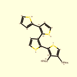 CCCCCCc1csc(-c2sccc2-c2sccc2-c2cccs2)c1CCCCCC